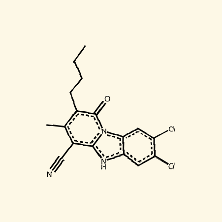 CCCCc1c(C)c(C#N)c2[nH]c3cc(Cl)c(Cl)cc3n2c1=O